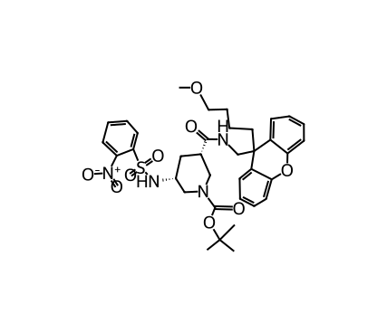 COCCCCC1(CNC(=O)[C@H]2C[C@@H](NS(=O)(=O)c3ccccc3[N+](=O)[O-])CN(C(=O)OC(C)(C)C)C2)c2ccccc2Oc2ccccc21